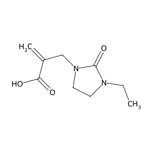 C=C(CN1CCN(CC)C1=O)C(=O)O